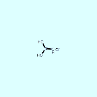 [Cl-].[OH][Ti+]([OH])[OH]